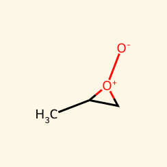 CC1C[O+]1[O-]